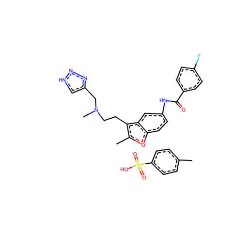 Cc1ccc(S(=O)(=O)O)cc1.Cc1oc2ccc(NC(=O)c3ccc(F)cc3)cc2c1CCN(C)Cc1c[nH]nn1